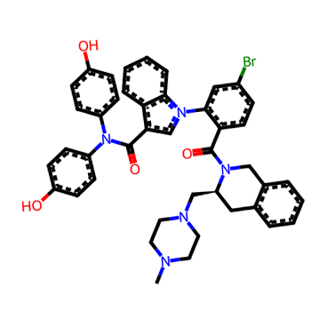 CN1CCN(C[C@@H]2Cc3ccccc3CN2C(=O)c2ccc(Br)cc2-n2cc(C(=O)N(c3ccc(O)cc3)c3ccc(O)cc3)c3ccccc32)CC1